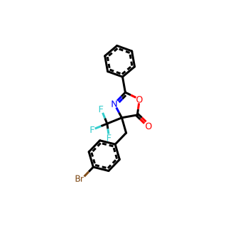 O=C1OC(c2ccccc2)=NC1(Cc1ccc(Br)cc1)C(F)(F)F